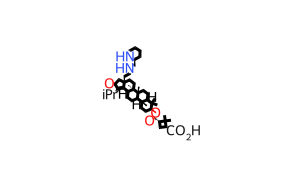 CC(C)C1=C2[C@H]3CC[C@@H]4[C@@]5(C)CC[C@H](OC(=O)[C@H]6C[C@@H](C(=O)O)C6(C)C)C(C)(C)[C@@H]5CC[C@@]4(C)[C@]3(C)CC[C@@]2(CCNC[C@@H]2CCCCN2)CC1=O